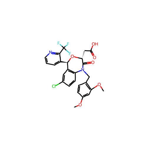 COc1ccc(CN2C(=O)[C@@H](CC(=O)O)O[C@H](c3cccnc3C(F)(F)F)c3cc(Cl)ccc32)c(OC)c1